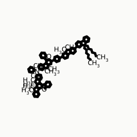 CCCCCCCC1(CCCCCCC)c2ccccc2-c2ccc(-c3ccc4c(c3)C(C)(C)c3cc(-c5ccc(-c6cc7c(c8c6oc6ccccc68)-c6ccc(N(c8ccc9c(c8)C(C)(C)c8c%10c(c%11oc%12ccccc%12c%11c8-9)-c8ccccc8C%10(C)C)c8c(C)cccc8C)cc6C7(C)C)cc5)ccc3-4)cc21